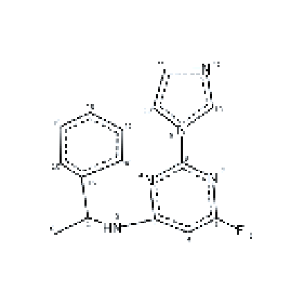 CC(Nc1cc(F)nc(-n2ccnc2)n1)c1ccccc1